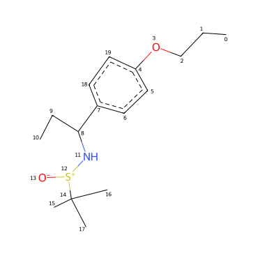 CCCOc1ccc(C(CC)N[S+]([O-])C(C)(C)C)cc1